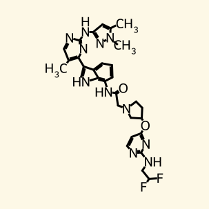 Cc1cnc(Nc2cc(C)n(C)n2)nc1-c1c[nH]c2c(NC(=O)CN3CCC(Oc4ccnc(NCC(F)F)n4)C3)cccc12